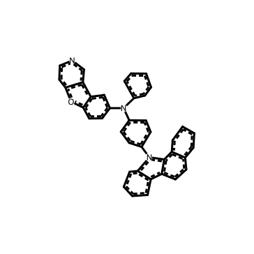 c1ccc(N(c2ccc(-n3c4ccccc4c4ccc5ccccc5c43)cc2)c2ccc3oc4ccncc4c3c2)cc1